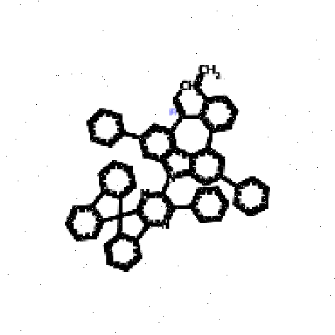 C=Cc1cccc2c1/C(=C\C)c1cc(-c3ccccc3)cc3c1c1c-2cc(-c2ccccc2)cc1n3-c1nc2c(nc1-c1ccccc1)-c1ccccc1C21c2ccccc2-c2ccccc21